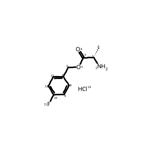 C[C@H](N)C(=O)OCc1ccc(F)cc1.Cl